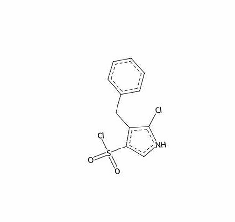 O=S(=O)(Cl)c1c[nH]c(Cl)c1Cc1ccccc1